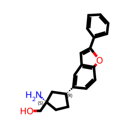 N[C@@]1(CO)CC[C@@H](c2ccc3oc(-c4ccccc4)cc3c2)C1